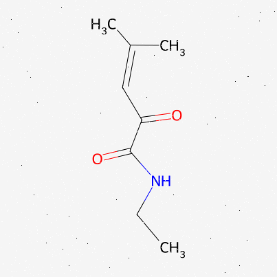 CCNC(=O)C(=O)C=C(C)C